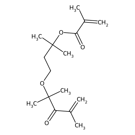 C=C(C)C(=O)OC(C)(C)CCOC(C)(C)C(=O)C(=C)C